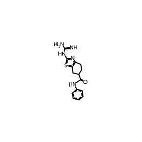 N=C(N)Nc1nc2c(s1)CC(C(=O)Nc1ccccc1)CC2